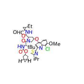 CCC1C[C@@]1(C=O)NC(=O)C1C[C@@H](Oc2cc(C3=NC(C(C)C)CS3)nc3c(Cl)c(OC)ccc23)CN1C(=O)C(NC(=O)OC1C[C@@H]2C[C@@H]2C1)C(C)(C)C